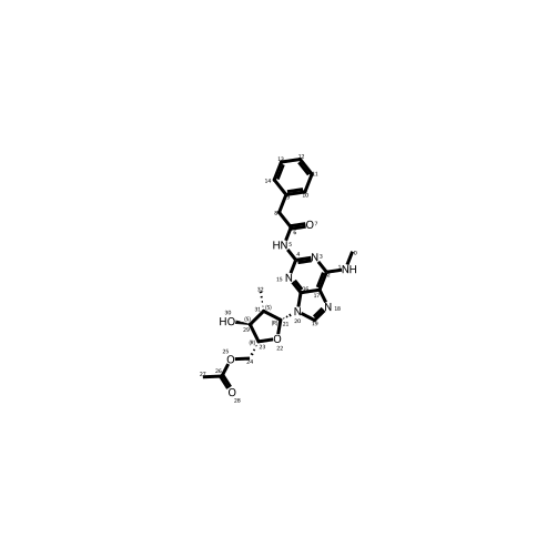 CNc1nc(NC(=O)Cc2ccccc2)nc2c1ncn2[C@@H]1O[C@H](COC(C)=O)[C@@H](O)[C@@H]1C